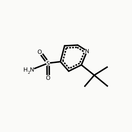 CC(C)(C)c1cc(S(N)(=O)=O)ccn1